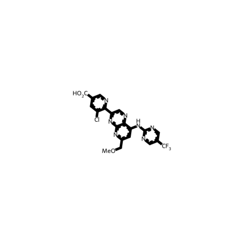 COCc1cc(Nc2ncc(C(F)(F)F)cn2)c2ncc(-c3ncc(C(=O)O)cc3Cl)nc2n1